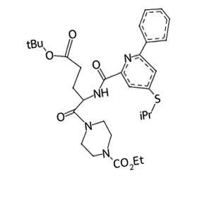 CCOC(=O)N1CCN(C(=O)C(CCC(=O)OC(C)(C)C)NC(=O)c2cc(SC(C)C)cc(-c3ccccc3)n2)CC1